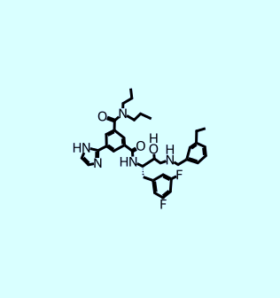 CCCN(CCC)C(=O)c1cc(C(=O)N[C@@H](Cc2cc(F)cc(F)c2)C(O)CNCc2cccc(CC)c2)cc(-c2ncc[nH]2)c1